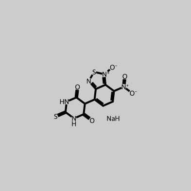 O=C1NC(=S)NC(=O)C1c1ccc([N+](=O)[O-])c2c1ns[n+]2[O-].[NaH]